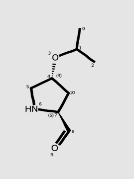 CC(C)O[C@H]1CN[C@H](C=O)C1